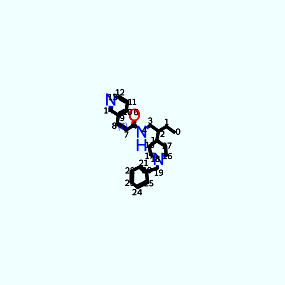 CCC(CNC(=O)/C=C\c1cccnc1)C1CCN(Cc2ccccc2)CC1